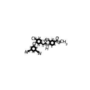 COC(=O)c1ccc(NC(=O)Cc2ccc(Cl)c(Oc3cc(C#N)cc(C#N)c3)c2)c(Cl)c1